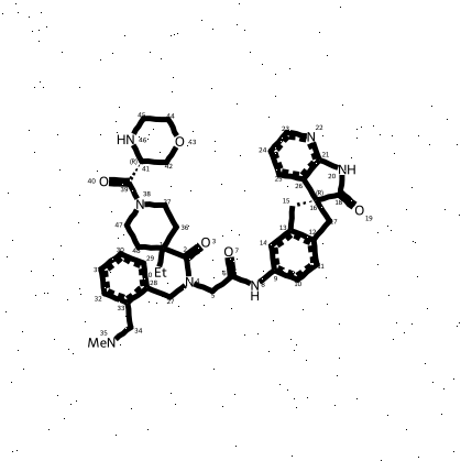 CCC1(C(=O)N(CC(=O)Nc2ccc3c(c2)C[C@@]2(C3)C(=O)Nc3ncccc32)Cc2ccccc2CNC)CCN(C(=O)[C@H]2COCCN2)CC1